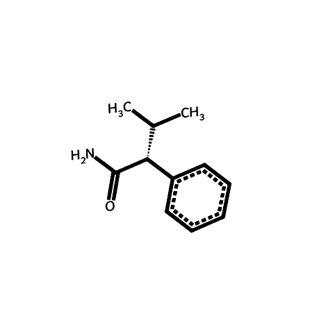 CC(C)[C@@H](C(N)=O)c1ccccc1